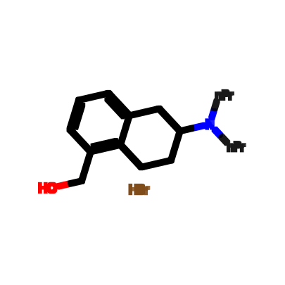 Br.CCCN(CCC)C1CCc2c(CO)cccc2C1